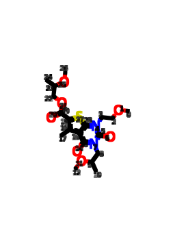 COCCn1c(=O)n(CC(C)OC)c(=O)c2c(C)c(C(=O)OCC(C)OC)sc21